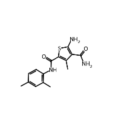 Cc1ccc(NC(=O)c2sc(N)c(C(N)=O)c2C)c(C)c1